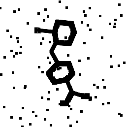 CCc1ccccc1Cc1ccc(C(=N)N)cc1